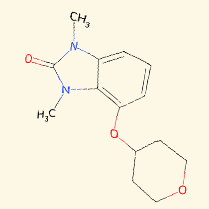 Cn1c(=O)n(C)c2c(OC3CCOCC3)cccc21